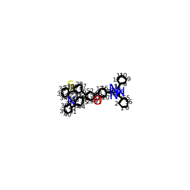 c1ccc(-c2nc(-c3ccccc3)nc(-c3ccc4c(c3)oc3ccc(-c5ccc6sc7cccc(-n8c9ccccc9c9ccccc98)c7c6c5)cc34)n2)cc1